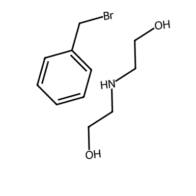 BrCc1ccccc1.OCCNCCO